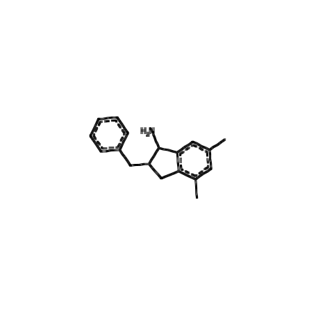 Cc1cc(C)c2c(c1)C(N)C(Cc1ccccc1)C2